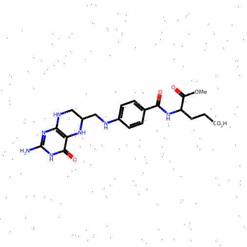 COC(=O)C(CCC(=O)O)NC(=O)c1ccc(NCC2CNc3nc(N)[nH]c(=O)c3N2)cc1